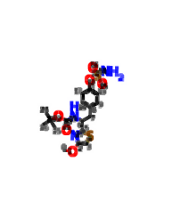 COc1csc(C(Cc2ccc(OS(N)(=O)=O)cc2)NC(=O)OC(C)(C)C)n1